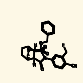 N#Cc1ccc(N2C(=O)[C@@H]3C4CCC(CN4C(=O)OCc4ccccc4)[C@@H]3C2=O)cc1CF